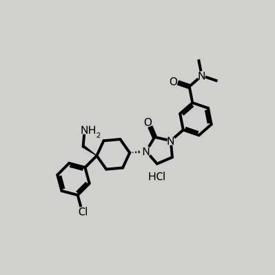 CN(C)C(=O)c1cccc(N2CCN([C@H]3CC[C@@](CN)(c4cccc(Cl)c4)CC3)C2=O)c1.Cl